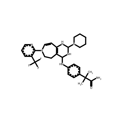 CC(C)(C(N)=O)c1ccc(NC2NC(N3CCCCC3)NC3=C2CCN(c2ncccc2C(F)(F)F)C=C3)cc1